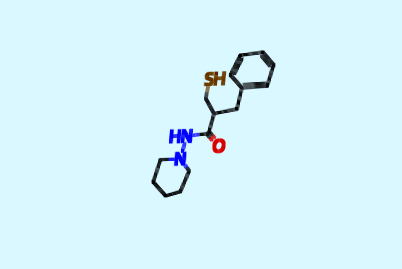 O=C(NN1CCCCC1)C(CS)Cc1ccccc1